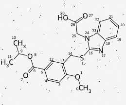 COc1ccc(C(=O)OC(C)C)cc1CSc1nc2ccccc2n1CC(=O)O